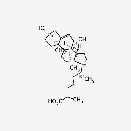 CC(CCC[C@@H](C)[C@H]1CC[C@H]2[C@@H]3[C@@H](O)C=C4C[C@@H](O)CC[C@]4(C)[C@H]3CC[C@]12C)C(=O)O